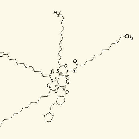 CCCCCCCCCCCC(=O)SC[C@H]1O[C@H](OC2CCC(CC3CCCC3)C2)[C@@H](SC(=O)CCCCCCCCCCC)[C@H](SC(=O)CCCCCCCCCCC)[C@H]1SC(=O)CCCCCCCCCCC